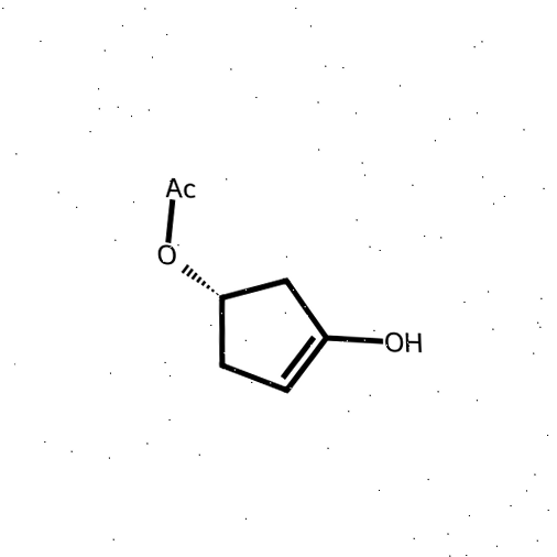 CC(=O)O[C@H]1CC=C(O)C1